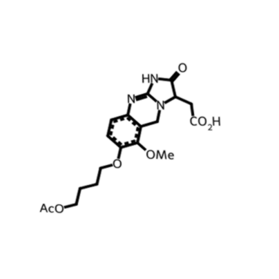 COc1c(OCCCCOC(C)=O)ccc2c1CN1C(=N2)NC(=O)C1CC(=O)O